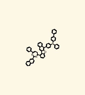 C1=C(c2ccccc2)N=C(c2ccc3ccccc3c2)N=C(c2cccc3oc4c(-c5ccc(N(c6ccccc6)c6ccc(-c7ccccc7)cc6)cc5)c5ccccc5cc4c23)C1